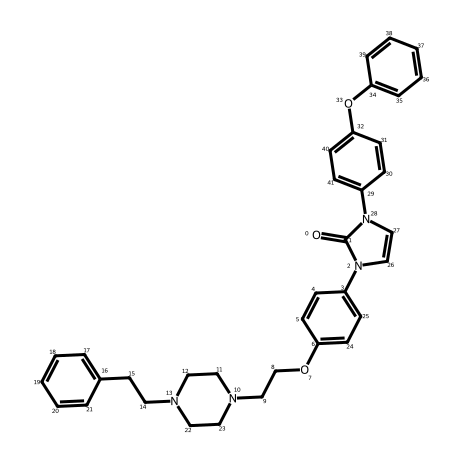 O=c1n(-c2ccc(OCCN3CCN(CCc4ccccc4)CC3)cc2)ccn1-c1ccc(Oc2ccccc2)cc1